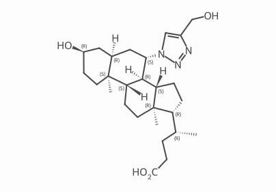 C[C@H](CCC(=O)O)[C@H]1CC[C@H]2[C@@H]3[C@@H](n4cc(CO)nn4)C[C@@H]4C[C@H](O)CC[C@]4(C)[C@H]3CC[C@]12C